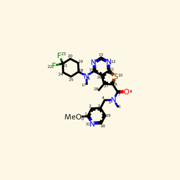 COc1cc(CN(C)C(=O)c2sc3ncnc(N(C)C4CCC(F)(F)CC4)c3c2C)ccn1